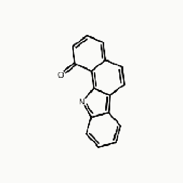 O=C1C=CC=c2ccc3c(c21)N=c1ccccc1=3